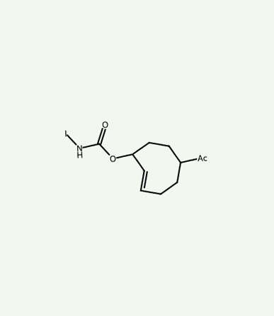 CC(=O)C1CC/C=C/C(OC(=O)NI)CC1